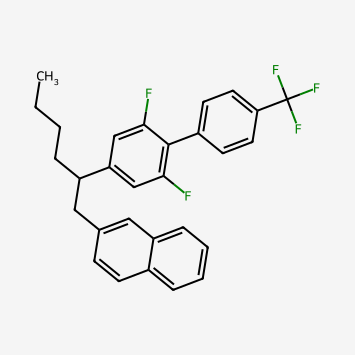 CCCCC(Cc1ccc2ccccc2c1)c1cc(F)c(-c2ccc(C(F)(F)F)cc2)c(F)c1